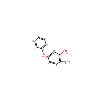 CCc1ccc(Oc2ccccc2)cc1O